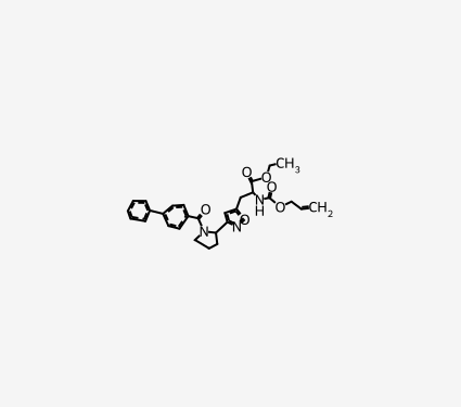 C=CCOC(=O)NC(Cc1cc(C2CCCN2C(=O)c2ccc(-c3ccccc3)cc2)no1)C(=O)OCC